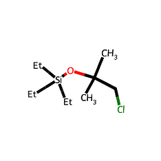 CC[Si](CC)(CC)OC(C)(C)CCl